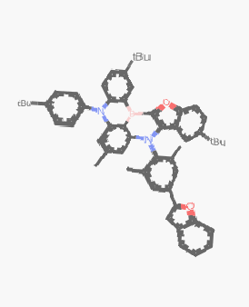 Cc1cc2c3c(c1)N(c1c(C)cc(-c4cc5ccccc5o4)cc1C)c1c(oc4ccc(C(C)(C)C)cc14)B3c1cc(C(C)(C)C)ccc1N2c1ccc(C(C)(C)C)cc1